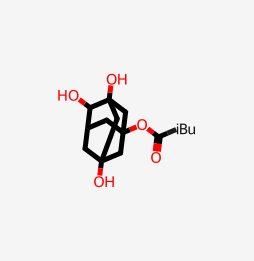 CCC(C)C(=O)OC12CC3CC(O)(C1)CC(O)(C2)C3O